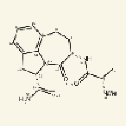 CN[C@@H](C)C(=O)N[C@H]1CCc2cccc3c2N(C1=O)[C@H](C(N)=O)C3